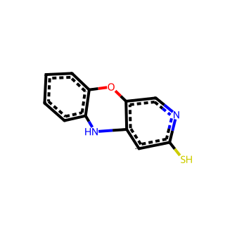 Sc1[c]c2c(cn1)Oc1ccccc1N2